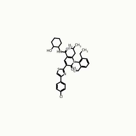 CCc1cccc(CC)c1-n1c(CC(C)C)c(C(=O)NC2CCCCC2O)cc(-c2nc(-c3ccc(Cl)cc3)cs2)c1=O